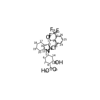 O=C(c1nn(C2CCC(C(=O)O)C(O)C2)c2c1CCCC2)c1c(Cl)cccc1C(F)(F)F